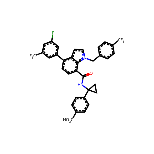 O=C(O)c1ccc(C2(NC(=O)c3ccc(-c4cc(F)cc(C(F)(F)F)c4)c4ccn(Cc5ccc(C(F)(F)F)cc5)c34)CC2)cc1